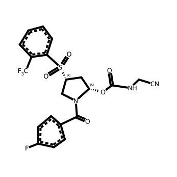 N#CCNC(=O)O[C@H]1C[C@@H](S(=O)(=O)c2ccccc2C(F)(F)F)CN1C(=O)c1ccc(F)cc1